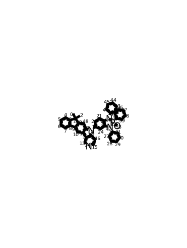 CC1(C)c2ccccc2-c2cc3c4cnccc4n(-c4ccc5c(c4)N(c4ccccc4)P(=O)(c4ccccc4)N5c4ccccc4)c3cc21